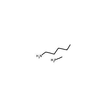 CCCCCN.CP